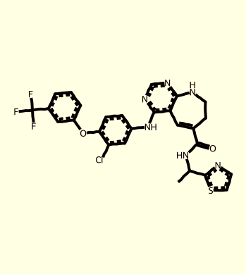 CC(NC(=O)C1=Cc2c(ncnc2Nc2ccc(Oc3cccc(C(F)(F)F)c3)c(Cl)c2)NCC1)c1nccs1